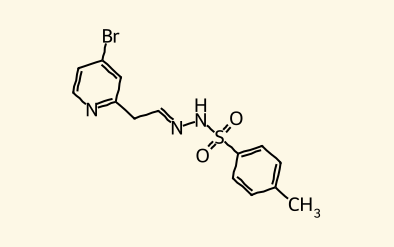 Cc1ccc(S(=O)(=O)NN=CCc2cc(Br)ccn2)cc1